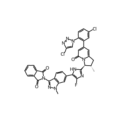 C[C@H]1Cc2cc(-c3cc(Cl)ccc3-n3cc(Cl)nn3)cc(=O)n2[C@@H]1c1nc(F)c(-c2ccc3c(N4C(=O)c5ccccc5C4=O)nn(C)c3c2)[nH]1